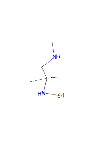 CNCC(C)(C)NS